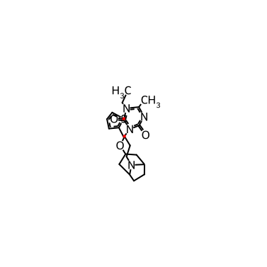 CCn1c(C)nc(=O)n(CCCN2C3CCC2CC(OCc2cccs2)C3)c1=O